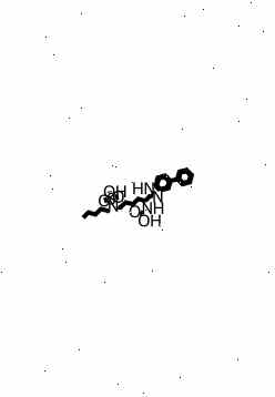 CCCCCN(CCCCC(NC(=O)O)c1nc2cc(-c3ccccc3)ccc2[nH]1)S(=O)(=O)O